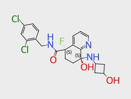 O=C(NCc1ccc(Cl)cc1Cl)[C@]1(F)CC[C@@](O)(NC2CC(O)C2)c2ncccc21